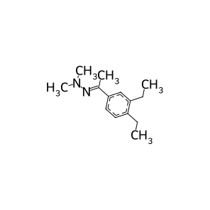 CCc1ccc(/C(C)=N/N(C)C)cc1CC